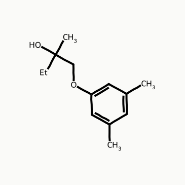 CCC(C)(O)COc1cc(C)cc(C)c1